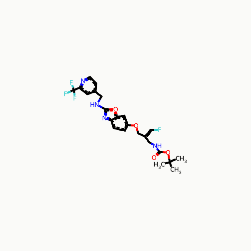 CC(C)(C)OC(=O)NCC(=CF)COc1ccc2nc(NCc3ccnc(C(F)(F)F)c3)oc2c1